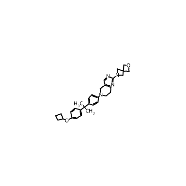 CC(C)(c1ccc(OC2CCC2)cc1)c1ccc(N2CCc3nc(N4CC5(COC5)C4)ncc3C2)cc1